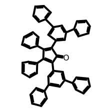 O=C1C(c2cc(-c3ccccc3)cc(-c3ccccc3)c2)=C(c2ccccc2)C(c2ccccc2)=C1c1cc(-c2ccccc2)cc(-c2ccccc2)c1